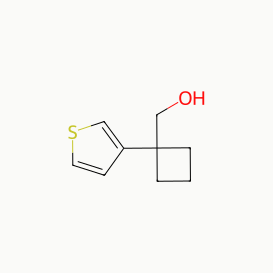 OCC1(c2ccsc2)CCC1